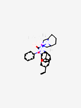 C=Cc1ccc(CN(C)C(=O)N2[C@H]3CCC[C@@H]2[C@@H](C(=O)O)N(C(=O)N(c2ccccc2)c2ccccc2)C3)cc1